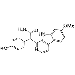 COc1ccc(C(C(N)=O)c2nccc3c2[nH]c2cc(OC)ccc23)cc1